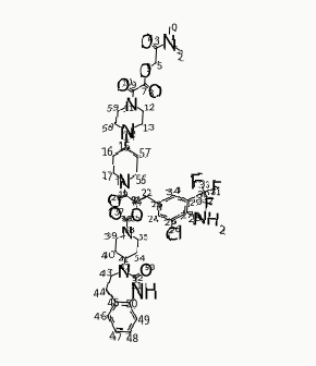 CN(C)C(=O)COC(=O)C(=O)N1CCN(C2CCN(C(=O)[C@@H](Cc3cc(Cl)c(N)c(C(F)(F)F)c3)OC(=O)N3CCC(N4CCc5ccccc5NC4=O)CC3)CC2)CC1